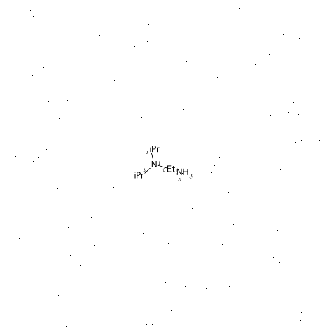 CCN(C(C)C)C(C)C.N